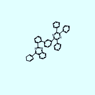 C1=CC(c2nc(-c3ccccc3-c3cccc(-c4nc(-c5ccccc5)c(-c5ccccc5)nc4-c4ccccc4)c3)nc3ccccc23)=CCC1